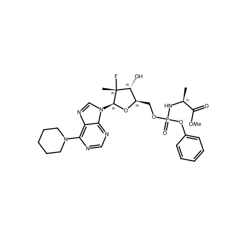 COC(=O)[C@H](C)NP(=O)(OC[C@H]1O[C@@H](n2cnc3c(N4CCCCC4)ncnc32)[C@](C)(F)[C@@H]1O)Oc1ccccc1